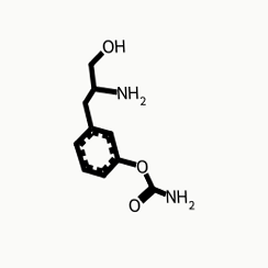 NC(=O)Oc1cccc(CC(N)CO)c1